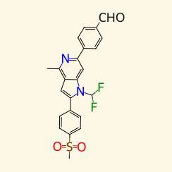 Cc1nc(-c2ccc(C=O)cc2)cc2c1cc(-c1ccc(S(C)(=O)=O)cc1)n2C(F)F